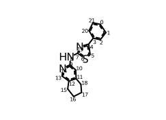 c1ccc(-c2csc(Nc3cc4c(cn3)CCCC4)n2)cc1